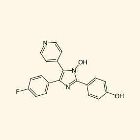 Oc1ccc(-c2nc(-c3ccc(F)cc3)c(-c3ccncc3)n2O)cc1